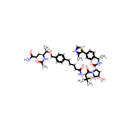 CC(=O)N[C@@H](CCC(N)=O)[C@@H](C)OCc1ccc(CCCCC(=O)N[C@H](C(=O)N2C[C@H](O)C[C@H]2C(=O)N[C@@H](C)c2ccc(-c3scnc3C)cc2)C(C)(C)C)cc1